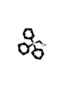 OC[P+](c1ccccc1)(c1ccccc1)c1ccccc1